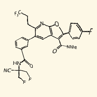 CNC(=O)c1c(-c2ccc(F)cc2)oc2nc(CCC(F)(F)F)c(-c3cccc(C(=O)NC(C#N)(CF)CF)c3)cc12